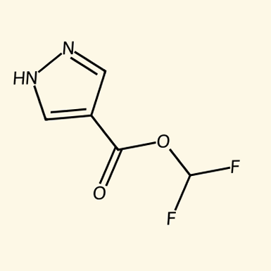 O=C(OC(F)F)c1cn[nH]c1